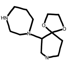 C1CNCCN(C2C[N]CCC23OCCO3)C1